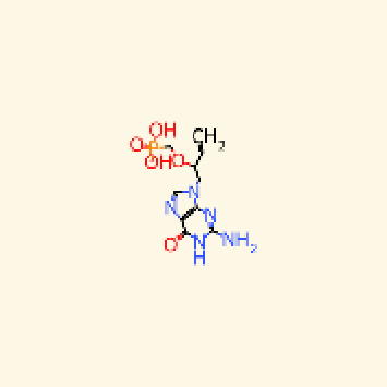 C=CC(Cn1cnc2c(=O)[nH]c(N)nc21)OCP(=O)(O)O